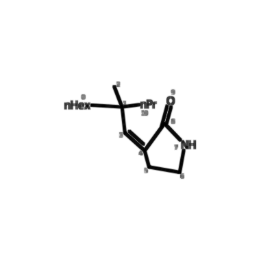 CCCCCCC(C)(/C=C1/CCNC1=O)CCC